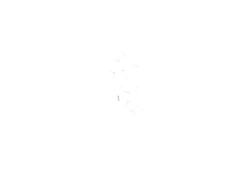 CCC(=O)C1=C(O)CC(c2c(C)c(C)c3c(c2Cl)OC(C)(C)C3)CC1=O